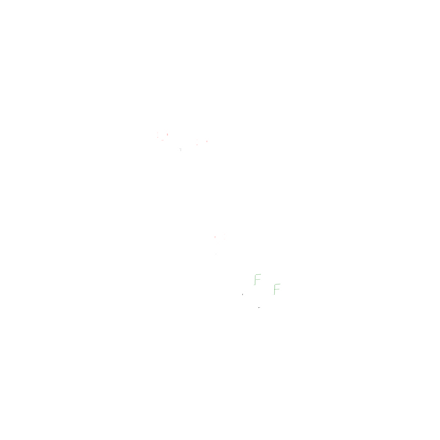 CCOC(=O)CCCCCOCCCC(F)(F)C(F)(F)F